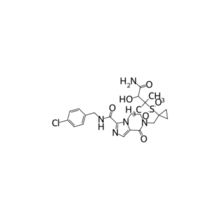 CC(C)(C(O)C(N)=O)S(=O)(=O)C1(CN2CCn3c(cnc3C(=O)NCc3ccc(Cl)cc3)C2=O)CC1